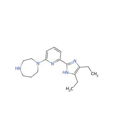 CCc1nc(-c2cccc(N3CCCNCC3)n2)[nH]c1CC